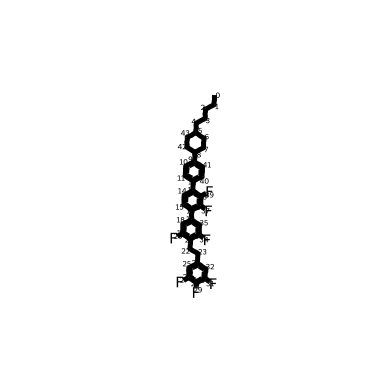 CCCCCC1CCC(c2ccc(-c3ccc(-c4cc(F)c(CCc5cc(F)c(F)c(F)c5)c(F)c4)c(F)c3F)cc2)CC1